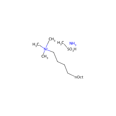 CCCCCCCCCCCC[N+](C)(C)C.CS(=O)(=O)O.N